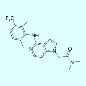 Cc1ccc(C(F)(F)F)c(C)c1Nc1nccc2c1ccn2CC(=O)N(C)C